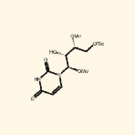 COC[C@@H](OC)[C@@H](O)[C@@H](OC)n1ccc(=O)[nH]c1=O